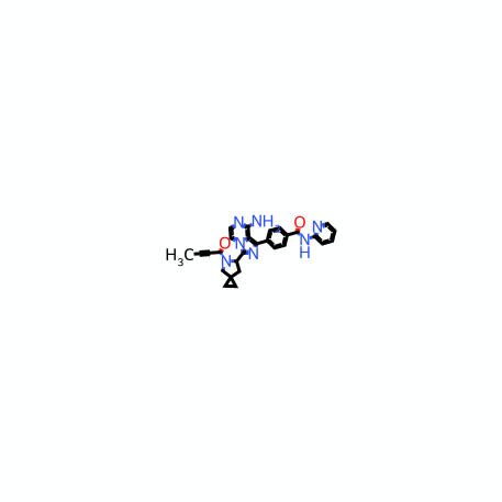 CC#CC(=O)N1CC2(CC2)CC1c1nc(-c2ccc(C(=O)Nc3ccccn3)cc2)c2c(N)nccn12